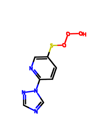 OOOSc1ccc(-n2cncn2)nc1